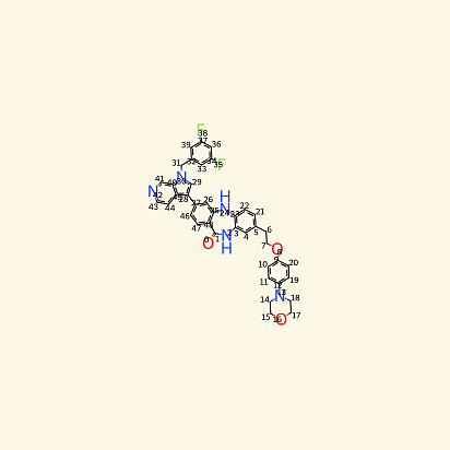 O=C1Nc2cc(CCOc3ccc(N4CCOCC4)cc3)ccc2Nc2cc(-c3cn(Cc4cc(F)cc(F)c4)c4cnccc34)ccc21